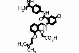 CN(C)CCOc1cccc(CNc2ccc(Cl)cc2C(=O)Nc2ccc(C(=N)N)cc2)c1OCC(=O)O